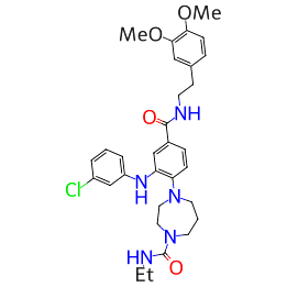 CCNC(=O)N1CCCN(c2ccc(C(=O)NCCc3ccc(OC)c(OC)c3)cc2Nc2cccc(Cl)c2)CC1